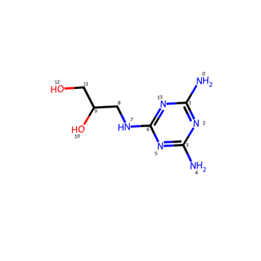 Nc1nc(N)nc(NCC(O)CO)n1